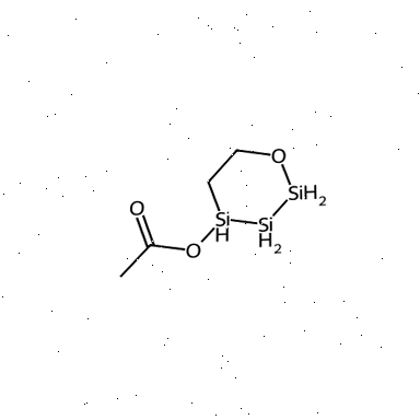 CC(=O)O[SiH]1CCO[SiH2][SiH2]1